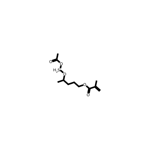 C=C(C)C(=O)OCCCC(C)O[SiH2]OC(C)=O